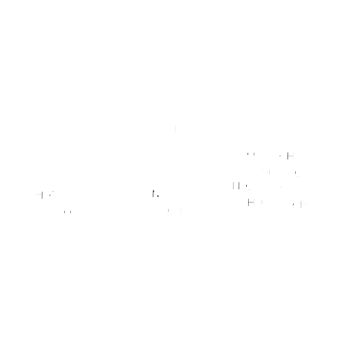 COc1ccc(N(C)Cc2ccc(O[Si](C)(C)C(C)(C)C)cc2F)cc1